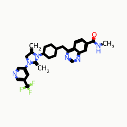 C=C1CN(c2cncc(C(F)(F)F)c2)C(=C)N1C1CCC(Cc2ncnc3cc(C(=O)NC)ccc23)CC1